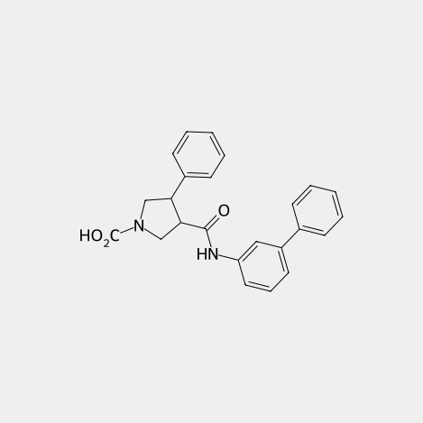 O=C(Nc1cccc(-c2ccccc2)c1)C1CN(C(=O)O)CC1c1ccccc1